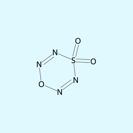 O=S1(=O)N=NON=N1